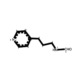 O=CNCCCc1ccncc1